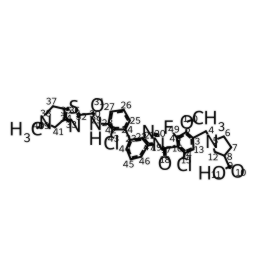 COc1c(CN2CCC(C(=O)O)C2)cc(Cl)c(C(=O)n2cnc3c(-c4cccc(NC(=O)c5nc6c(s5)CCN(C)C6)c4Cl)cccc32)c1F